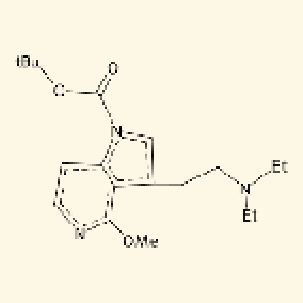 CCN(CC)CCc1cn(C(=O)OC(C)(C)C)c2ccnc(OC)c12